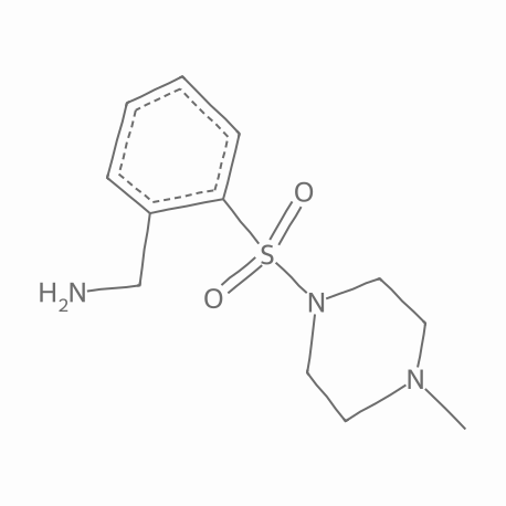 CN1CCN(S(=O)(=O)c2ccccc2CN)CC1